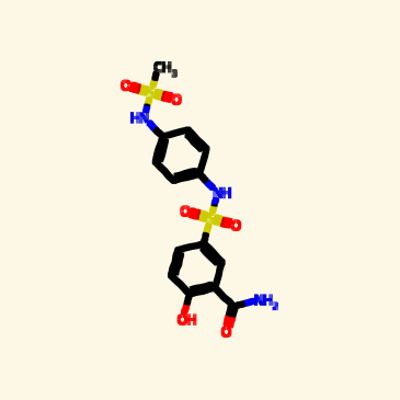 CS(=O)(=O)Nc1ccc(NS(=O)(=O)c2ccc(O)c(C(N)=O)c2)cc1